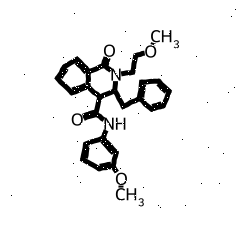 COCCN1C(=O)c2ccccc2C(C(=O)Nc2cccc(OC)c2)C1Cc1ccccc1